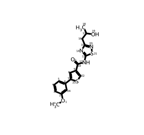 COc1cccc(-c2cc(C(=O)Nc3nc(CC(C)O)ns3)cs2)c1